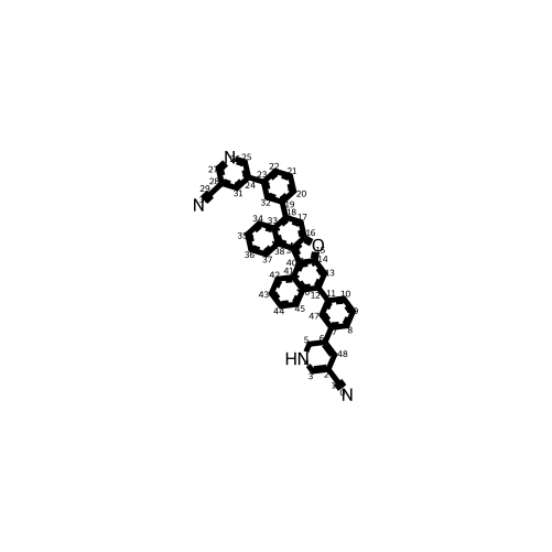 N#CC1=CNCC(c2cccc(-c3cc4oc5cc(-c6cccc(-c7cncc(C#N)c7)c6)c6ccccc6c5c4c4ccccc34)c2)=C1